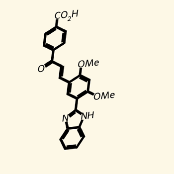 COc1cc(OC)c(-c2nc3ccccc3[nH]2)cc1/C=C/C(=O)c1ccc(C(=O)O)cc1